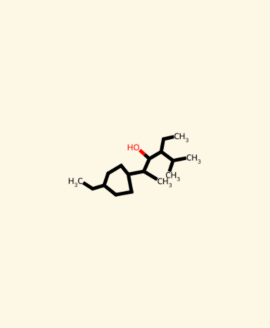 CCC1CCC(C(C)C(O)C(CC)C(C)C)CC1